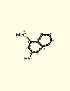 COc1cc(S)cc2ccccc12